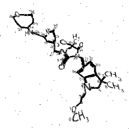 COCCN1CC(C)(C)c2ccc(N3C(=O)N(Cc4ccnc(NC5CCOCC5)c4)C(C)(C)C3=O)cc21